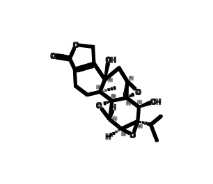 CC(C)[C@]12O[C@H]1[C@@H]1O[C@]13[C@]1(O[C@H]1C[C@@]1(O)C4=C(CC[C@]31C)C(=O)OC4)[C@H]2O